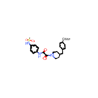 COc1ccc(CC2CCN(C(=O)C(=O)Nc3ccc(NS(C)(=O)=O)cc3)CC2)cc1